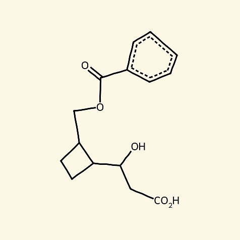 O=C(O)CC(O)C1CCC1COC(=O)c1ccccc1